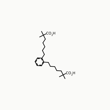 CC(C)(CCCCCc1ccccc1CCCCCC(C)(C)C(=O)O)C(=O)O